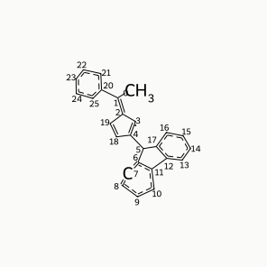 CC(=C1[C]=C(C2c3ccccc3-c3ccccc32)C=C1)c1ccccc1